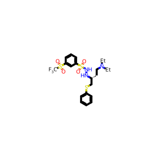 CCN(CC)CC[C@H](CSc1ccccc1)NNS(=O)(=O)c1cccc(S(=O)(=O)C(F)(F)F)c1